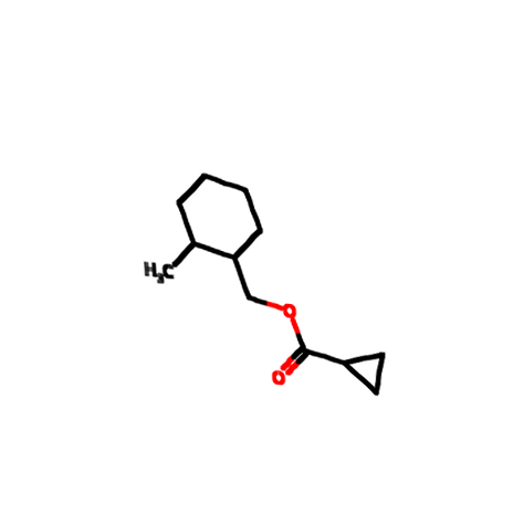 CC1CCCCC1COC(=O)C1CC1